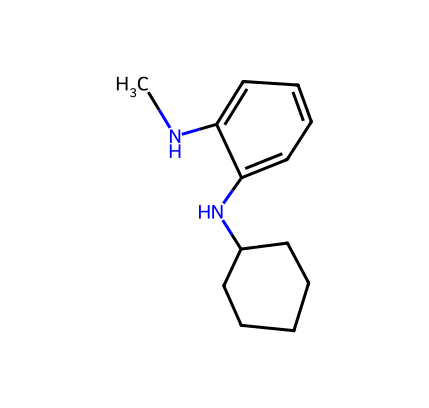 CNc1ccccc1NC1CCCCC1